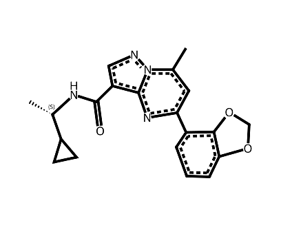 Cc1cc(-c2cccc3c2OCO3)nc2c(C(=O)N[C@@H](C)C3CC3)cnn12